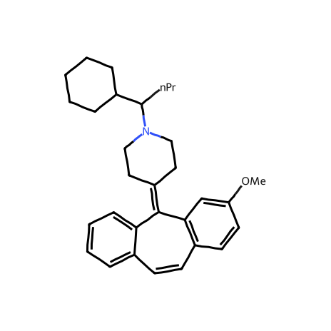 CCCC(C1CCCCC1)N1CCC(=C2c3ccccc3C=Cc3ccc(OC)cc32)CC1